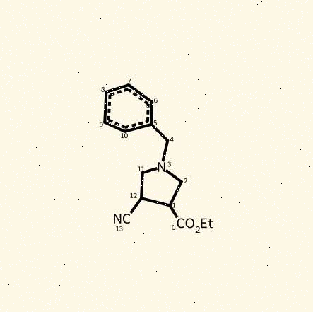 CCOC(=O)C1CN(Cc2ccccc2)CC1C#N